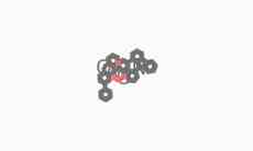 c1ccc(-c2ccc3c(c2)C2(c4ccccc4Oc4cc(-c5cccc6c7ccccc7n(-c7ccccc7)c56)ccc42)c2ccccc2O3)cc1